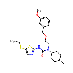 C[C@H]1CC[C@H](N(CCOCc2cccc(OC(F)(F)F)c2)C(=O)Nc2ncc(SCC(=O)O)s2)CC1